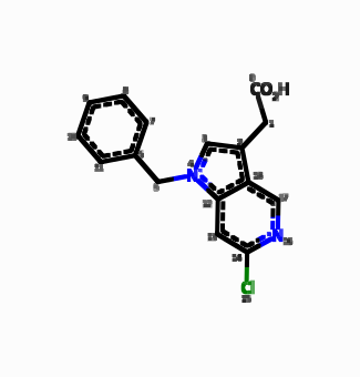 O=C(O)Cc1cn(Cc2ccccc2)c2cc(Cl)ncc12